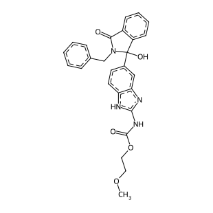 COCCOC(=O)Nc1nc2cc(C3(O)c4ccccc4C(=O)N3Cc3ccccc3)ccc2[nH]1